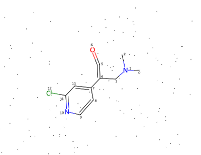 CN(C)CC(=C=O)c1ccnc(Cl)c1